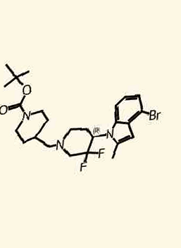 Cc1cc2c(Br)cccc2n1[C@@H]1CCN(CC2CCN(C(=O)OC(C)(C)C)CC2)CC1(F)F